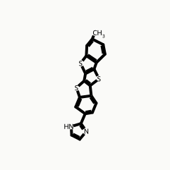 Cc1ccc2c(c1)sc1c2sc2c3ccc(-c4ncc[nH]4)cc3sc21